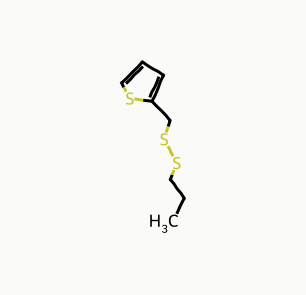 CCCSSCc1cccs1